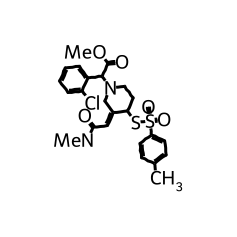 CNC(=O)C=C1CN(C(C(=O)OC)c2ccccc2Cl)CCC1SS(=O)(=O)c1ccc(C)cc1